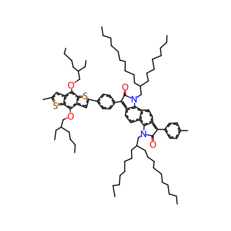 CCCCCCCCCCC(CCCCCCCC)CN1C(=O)C(c2ccc(C)cc2)=c2ccc3c4c(ccc3c21)=C(c1ccc(-c2cc3c(OCC(CC)CCCC)c5sc(C)cc5c(OCC(CC)CCCC)c3s2)cc1)C(=O)N4CC(CCCCCCCC)CCCCCCCCCC